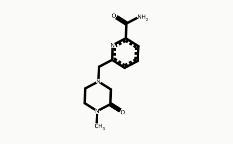 CN1CCN(Cc2cccc(C(N)=O)n2)CC1=O